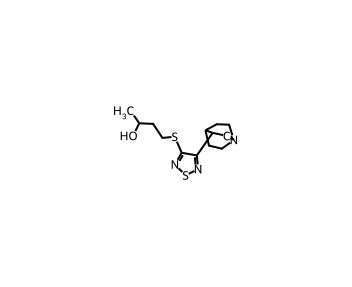 CC(O)CCSc1nsnc1C1CN2CCC1CC2